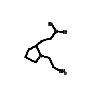 CCN(CC)CCC1CCCN1CCN